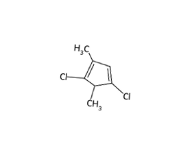 CC1=C(Cl)C(C)C(Cl)=C1